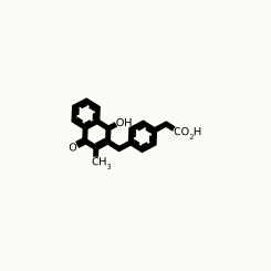 CC1=C(Cc2ccc(CC(=O)O)cc2)C(O)c2ccccc2C1=O